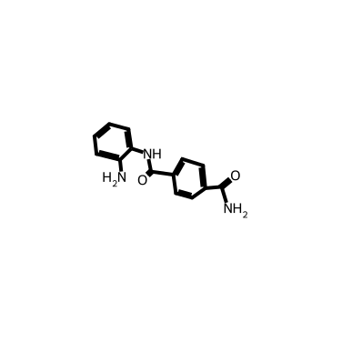 NC(=O)c1ccc(C(=O)Nc2ccccc2N)cc1